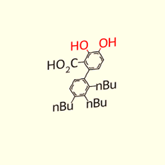 CCCCc1ccc(-c2ccc(O)c(O)c2C(=O)O)c(CCCC)c1CCCC